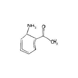 CC(=O)C1=CC=C=CC1N